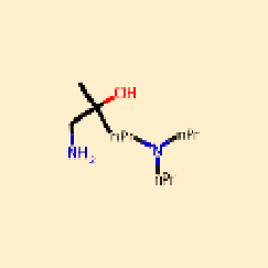 CC(C)(O)CN.CCCN(CCC)CCC